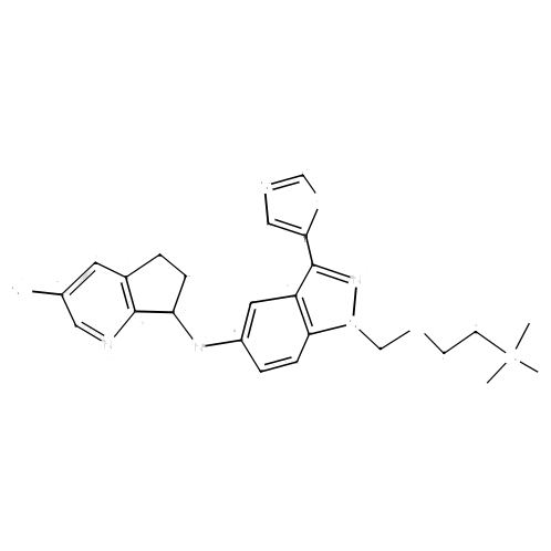 C[Si](C)(C)CCOCn1nc(-c2cnco2)c2cc(NC3CCc4cc(C#N)cnc43)ccc21